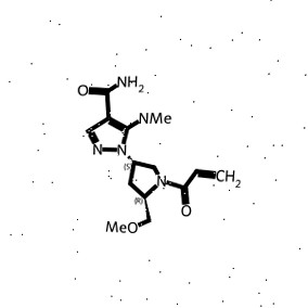 C=CC(=O)N1C[C@@H](n2ncc(C(N)=O)c2NC)C[C@@H]1COC